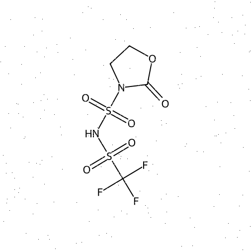 O=C1OCCN1S(=O)(=O)NS(=O)(=O)C(F)(F)F